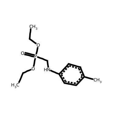 CCOP(=O)(CNc1ccc(C)cc1)OCC